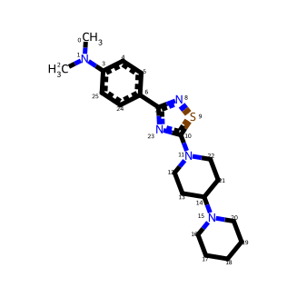 CN(C)c1ccc(-c2nsc(N3CCC(N4CCCCC4)CC3)n2)cc1